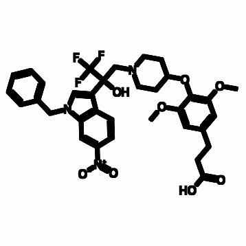 COc1cc(CCC(=O)O)cc(OC)c1OC1CCN(CC(O)(c2cn(Cc3ccccc3)c3cc([N+](=O)[O-])ccc23)C(F)(F)F)CC1